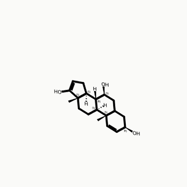 C[C@]12C=C[C@H](O)CC1C[C@H](O)[C@@H]1[C@@H]2CC[C@]2(C)C(O)=CC[C@@H]12